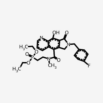 CCOP(=O)(CCN(C)C(=O)c1c2c(c(O)c3ncccc13)C(=O)N(Cc1ccc(F)cc1)C2)OCC